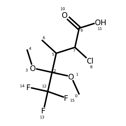 COC(OC)(C(C)C(Cl)C(=O)O)C(F)(F)F